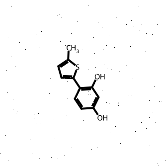 Cc1ccc(-c2ccc(O)cc2O)s1